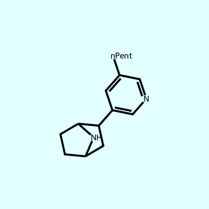 CCCCCc1cncc(C2CC3CCC2N3)c1